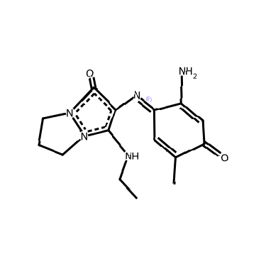 CCNc1c(/N=C2\C=C(C)C(=O)C=C2N)c(=O)n2n1CCC2